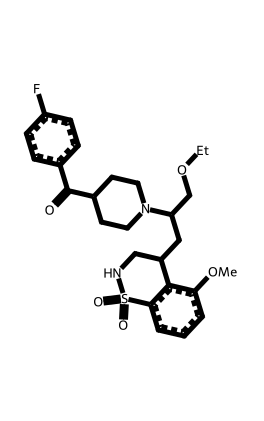 CCOCC(CC1CNS(=O)(=O)c2cccc(OC)c21)N1CCC(C(=O)c2ccc(F)cc2)CC1